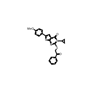 COc1ccc(-c2cc3c(=O)n(C4CC4)c(SCC(=O)c4ccccc4)nc3s2)cc1